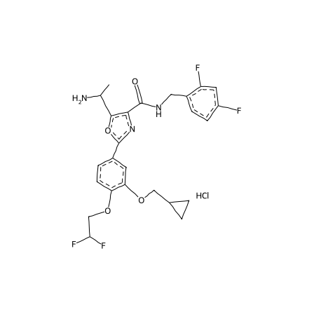 CC(N)c1oc(-c2ccc(OCC(F)F)c(OCC3CC3)c2)nc1C(=O)NCc1ccc(F)cc1F.Cl